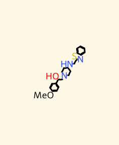 COc1ccc(C(O)CN2CCC(NCc3nc4ccccc4s3)CC2)cc1